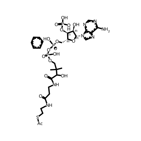 CC(=O)SCCNC(=O)CCNC(=O)C(O)C(C)(C)COP(=O)(O)OP(=O)(O)OC[C@H]1O[C@@H](n2cnc3c(N)ncnc32)[C@H](O)[C@@H]1OP(=O)(O)O.c1ccccc1